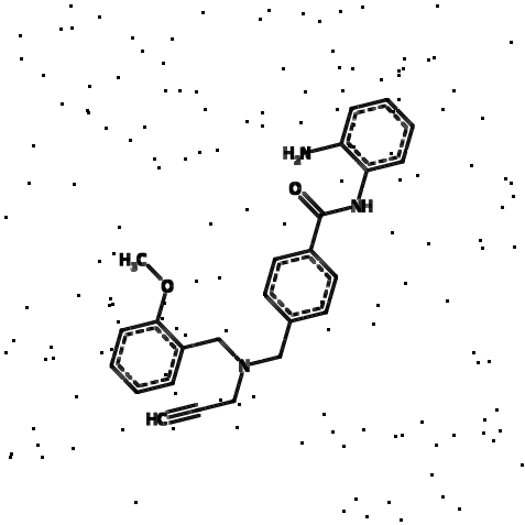 C#CCN(Cc1ccc(C(=O)Nc2ccccc2N)cc1)Cc1ccccc1OC